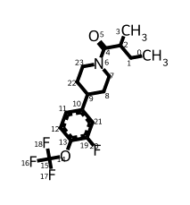 CCC(C)C(=O)N1CCC(c2ccc(OC(F)(F)F)c(F)c2)CC1